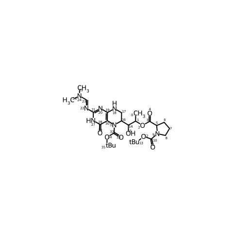 CC(OC(=O)C1CCCN1C(=O)OC(C)(C)C)C(O)C1CNc2nc(N=CN(C)C)[nH]c(=O)c2N1C(=O)OC(C)(C)C